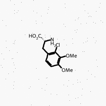 COc1ccc(C[C@@H](N)C(=O)O)c(Cl)c1OC